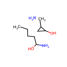 CC1CC1O.CCCCC(N)O.N